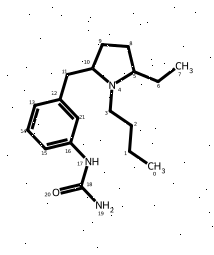 CCCCN1C(CC)CCC1Cc1cccc(NC(N)=O)c1